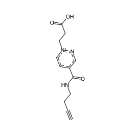 C#CCCNC(=O)c1cc[n+](CCC(=O)O)nc1